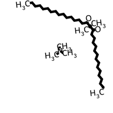 CCCCCCCCCCCCCCCC(=O)C(C)(C)C(=O)CCCCCCCCCCCCCCC.CN(C)C